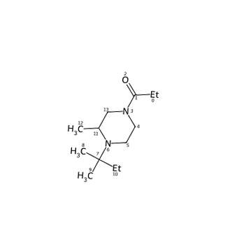 CCC(=O)N1CCN(C(C)(C)CC)C(C)C1